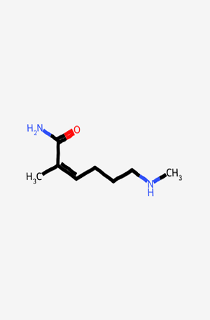 CNCCCC=C(C)C(N)=O